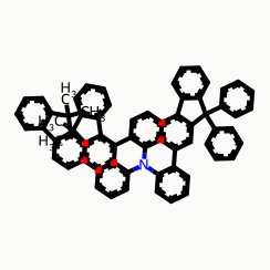 CC1(C)c2ccccc2-c2ccc(-c3cccc(N(c4ccccc4-c4ccc5c(c4)C(c4ccccc4)(c4ccccc4)c4ccccc4-5)c4ccccc4-c4cccc5c4-c4ccccc4C5(C)C)c3)cc21